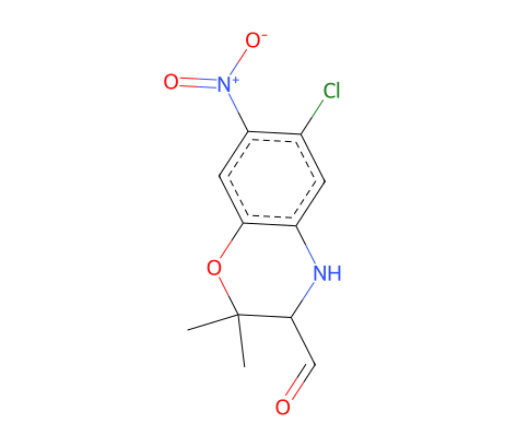 CC1(C)Oc2cc([N+](=O)[O-])c(Cl)cc2NC1C=O